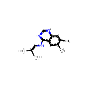 Cc1cc2ncnc(NC=C(C(=O)O)C(=O)O)c2cc1C